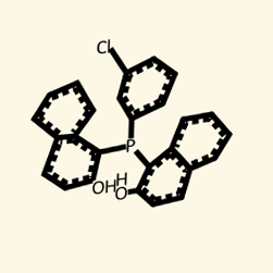 Oc1ccc2ccccc2c1P(c1cccc(Cl)c1)c1c(O)ccc2ccccc12